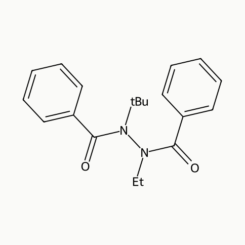 CCN(C(=O)c1ccccc1)N(C(=O)c1ccccc1)C(C)(C)C